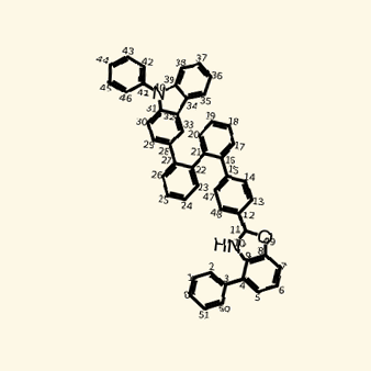 c1ccc(-c2cccc3c2NC(c2ccc(-c4ccccc4-c4ccccc4-c4ccc5c(c4)c4ccccc4n5-c4ccccc4)cc2)O3)cc1